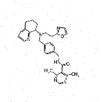 Cc1ncnc(C)c1C(=O)NCc1ccc(CN(CCc2ncco2)C2CCCc3cccnc32)cc1